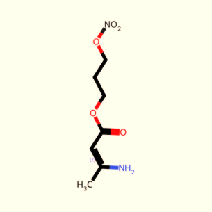 C/C(N)=C/C(=O)OCCCO[N+](=O)[O-]